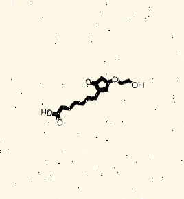 O=C(O)CCCCCCC1=CC(OCCO)CC1=O